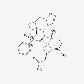 CC(=O)O[C@H]1C[C@]2(C)C1=C(C)CC[C@@]2(O)[C@@H](OC(=O)c1ccccc1)C1[C@]2(OC(C)=O)COC2C[C@H](O)[C@@]1(C)C=O